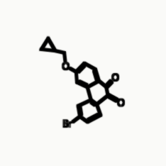 O=C1C(=O)c2ccc(OCC3CC3)cc2-c2cc(Br)ccc21